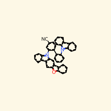 N#Cc1ccc(-c2ccccc2-n2c3ccccc3c3ccccc32)c(-n2c3ccccc3c3cc4oc5ccccc5c4cc32)c1